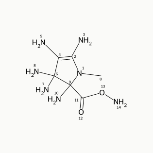 CN1C(N)=C(N)C(N)(N)C1(N)C(=O)ON